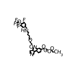 CCC(=O)OCOC(=O)c1ccc2c(c1)nc(OCCOCCCCNCc1cc(F)c(OC(F)(F)F)c(F)c1)c1ccncc12